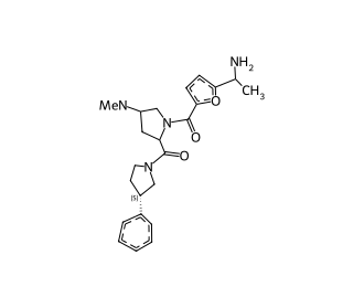 CNC1CC(C(=O)N2CC[C@@H](c3ccccc3)C2)N(C(=O)c2ccc(C(C)N)o2)C1